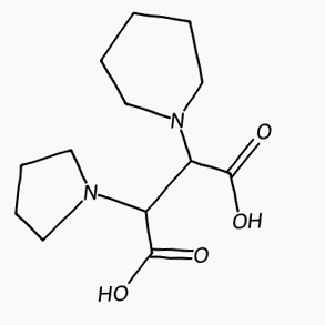 O=C(O)C(C(C(=O)O)N1CCCC1)N1CCCCC1